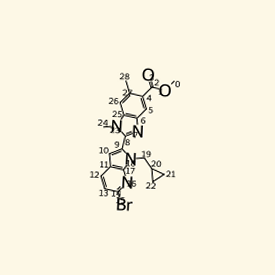 COC(=O)c1cc2nc(-c3cc4ccc(Br)nc4n3CC3CC3)n(C)c2cc1C